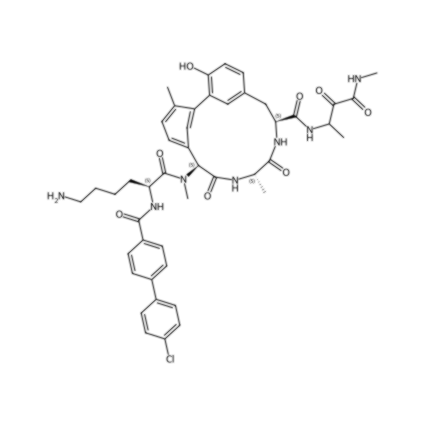 CNC(=O)C(=O)C(C)NC(=O)[C@@H]1Cc2ccc(O)c(c2)-c2cc(ccc2C)[C@H](N(C)C(=O)[C@H](CCCCN)NC(=O)c2ccc(-c3ccc(Cl)cc3)cc2)C(=O)N[C@@H](C)C(=O)N1